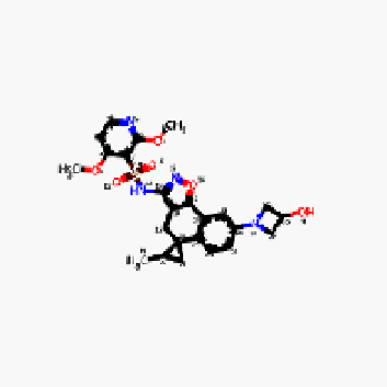 COc1ccnc(OC)c1S(=O)(=O)Nc1noc2c1CC1(CC1C)c1ccc(N3CC(O)C3)cc1-2